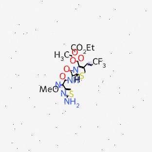 CCOC(=O)OC(C)OC(=O)C1=C(/C=C/C(F)(F)F)CS[C@@H]2C(NC(=O)/C(=N/OC)c3csc(N)n3)C(=O)N12